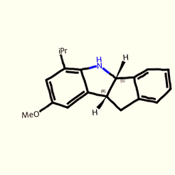 COc1cc(C(C)C)c2c(c1)[C@H]1Cc3ccccc3[C@H]1N2